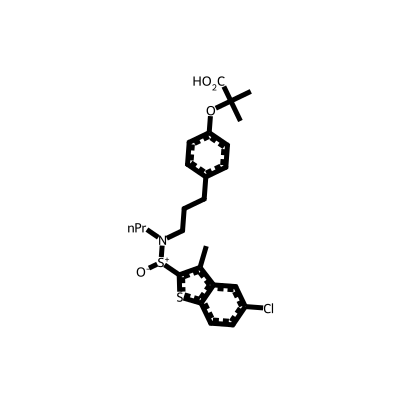 CCCN(CCCc1ccc(OC(C)(C)C(=O)O)cc1)[S+]([O-])c1sc2ccc(Cl)cc2c1C